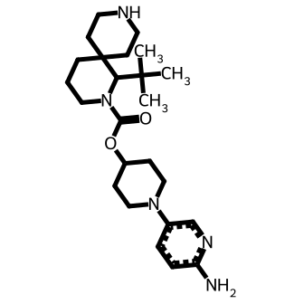 CC(C)(C)C1N(C(=O)OC2CCN(c3ccc(N)nc3)CC2)CCCC12CCNCC2